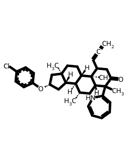 C=C=CC1CC(=O)C(C)(C2=CC=CC=CN2)[C@@H]2C[C@H](C)[C@H]3[C@@H]4C[C@H](Oc5ccc(Cl)cc5)C[C@@]4(C)CC[C@@H]3[C@@]12C